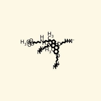 C[C@H](CCCNCCCCOS(C)(=O)=O)C1CC[C@H]2C3C(C[C@H](OCCCN=[N+]=[N-])C12C)C1(C)CC[C@@H](OCCCN=[N+]=[N-])CC1C[C@H]3OCCCN=[N+]=[N-]